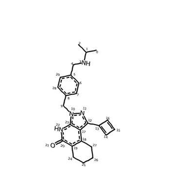 CC(C)NCc1ccc(Cn2nc(C3=CC=C3)c3c4c(c(=O)[nH]c32)CCCC4)cc1